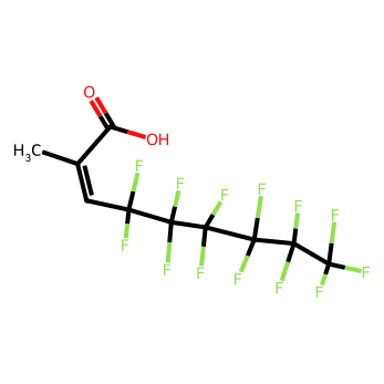 CC(=CC(F)(F)C(F)(F)C(F)(F)C(F)(F)C(F)(F)C(F)(F)F)C(=O)O